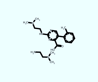 CN(C)CCN.Cc1ccccc1-c1cnc(NCCN(C)C)nc1C(=O)O